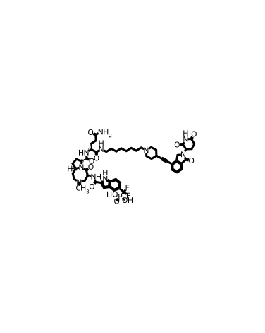 CN1CC[C@H]2CC[C@@H](C(=O)N[C@@H](CCC(N)=O)C(=O)NCCCCCCCCN3CCC(C#Cc4cccc5c4CN(C4CCC(=O)NC4=O)C5=O)CC3)N2C(=O)[C@@H](NC(=O)c2cc3cc(C(F)(F)P(=O)(O)O)ccc3[nH]2)C1